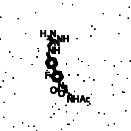 CC(=O)NC[C@H]1CN(c2ccc(-c3ccc(CNC/C(=C/N)N=N)cc3)c(F)c2)C(=O)O1